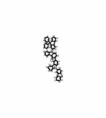 c1ccc(C2(c3ccccc3)c3ccccc3-c3ccc(-n4c5ccccc5c5c6oc7c(ccc8c7c7ccccc7n8-c7ccc8sc9ccccc9c8c7)c6ccc54)cc32)cc1